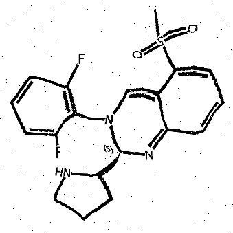 CS(=O)(=O)c1cccc2c1=CN(c1c(F)cccc1F)[C@H](C1CCCN1)N=2